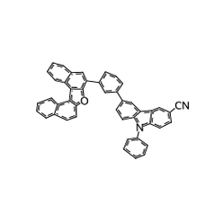 N#Cc1ccc2c(c1)c1cc(-c3cccc(-c4cc5ccccc5c5c4oc4ccc6ccccc6c45)c3)ccc1n2-c1ccccc1